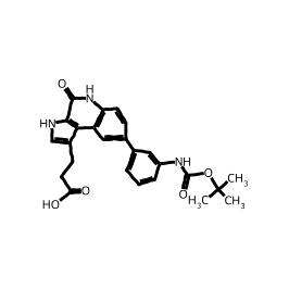 CC(C)(C)OC(=O)Nc1cccc(-c2ccc3[nH]c(=O)c4[nH]cc(CCC(=O)O)c4c3c2)c1